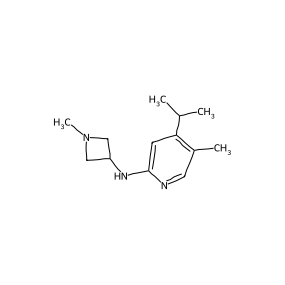 Cc1cnc(NC2CN(C)C2)cc1C(C)C